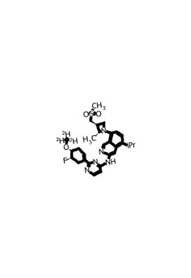 [2H]C([2H])([2H])O[C@@H]1CC=C(c2nccc(Nc3cc4c(C(C)C)ccc(N5C[C@H](CS(C)(=O)=O)[C@H]5C)c4cn3)n2)C[C@@H]1F